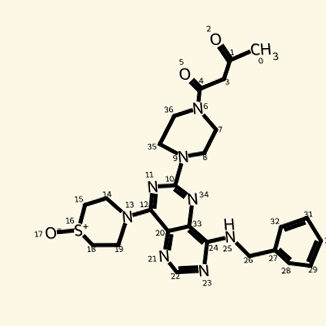 CC(=O)CC(=O)N1CCN(c2nc(N3CC[S+]([O-])CC3)c3ncnc(NCc4ccccc4)c3n2)CC1